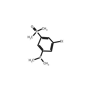 CCc1cc(P(C)C)cc(P(C)(C)=O)c1